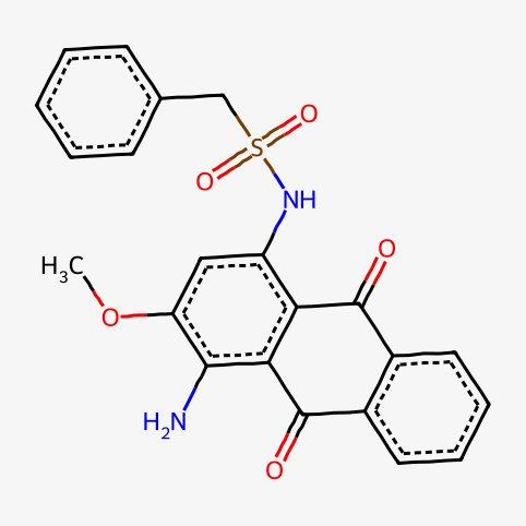 COc1cc(NS(=O)(=O)Cc2ccccc2)c2c(c1N)C(=O)c1ccccc1C2=O